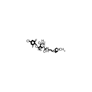 CN1CC2CC1CN2CCCNC(=O)Nc1snc(OCc2c(F)cc(Cl)cc2F)c1C(N)=O